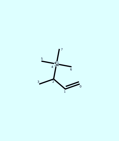 C=CC(C)[Si](C)(C)C